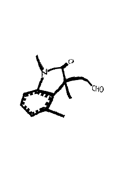 Cc1cccc2c1C(C)(CC=O)C(=O)N2C